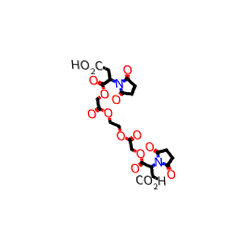 O=C(O)CC(C(=O)OCC(=O)OCCOC(=O)COC(=O)C(CC(=O)O)N1C(=O)CCC1=O)N1C(=O)CCC1=O